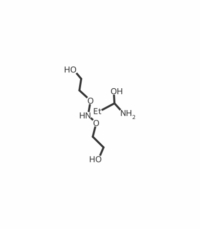 CCC(N)O.OCCONOCCO